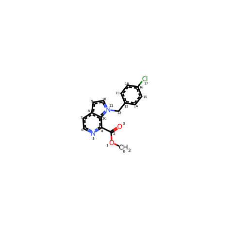 COC(=O)c1nccc2ccn(Cc3ccc(Cl)cc3)c12